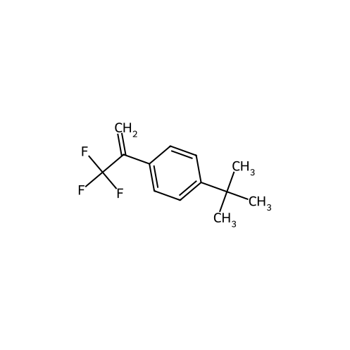 C=C(c1ccc(C(C)(C)C)cc1)C(F)(F)F